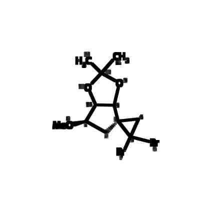 CO[C@@H]1C[C@@]2(CC2(Br)Br)C2OC(C)(C)OC21